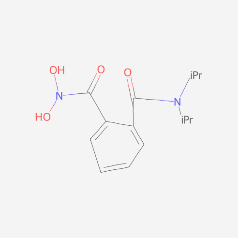 CC(C)N(C(=O)c1ccccc1C(=O)N(O)O)C(C)C